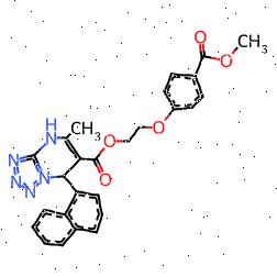 COC(=O)c1ccc(OCCOC(=O)C2=C(C)Nc3nnnn3C2c2cccc3ccccc23)cc1